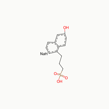 O=S(=O)(O)CCCc1cccc2cc(O)ccc12.[NaH]